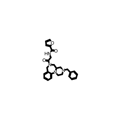 O=C(NCC(=O)N1Cc2ccccc2N2CCN(Cc3ccccc3)CC2C1)c1ccco1